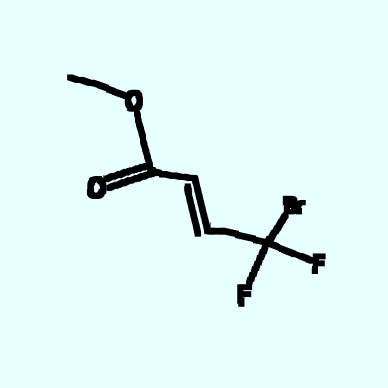 COC(=O)C=CC(F)(F)Br